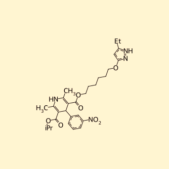 CCc1cc(OCCCCCCOC(=O)C2=C(C)NC(C)=C(C(=O)OC(C)C)C2c2cccc([N+](=O)[O-])c2)n[nH]1